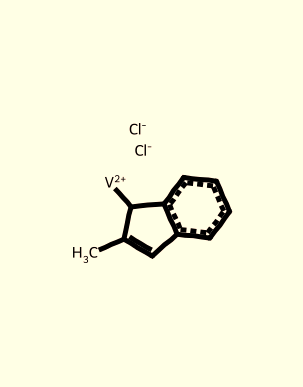 CC1=Cc2ccccc2[CH]1[V+2].[Cl-].[Cl-]